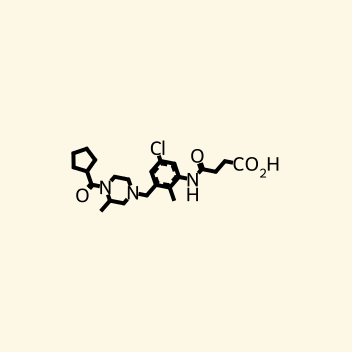 Cc1c(CN2CCN(C(=O)C3CCCC3)C(C)C2)cc(Cl)cc1NC(=O)CCC(=O)O